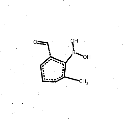 Cc1cccc(C=O)c1B(O)O